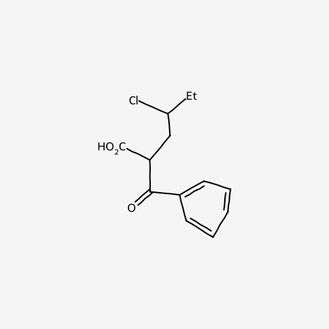 CCC(Cl)CC(C(=O)O)C(=O)c1ccccc1